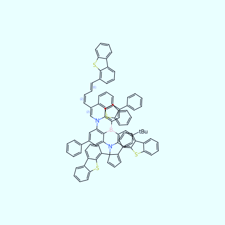 CC(C)(C)c1ccc2c(c1)B1c3cc(-c4ccccc4)ccc3N(/C=C(/C=C\C=C\c3cccc4c3sc3ccccc34)c3cccc4c3sc3ccccc34)c3cc(-c4ccccc4)cc(c31)N2C1(c2cccc3c2sc2ccccc23)C=CC=C1c1cccc2c1sc1ccccc12